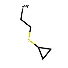 CCCC[CH]SC1CC1